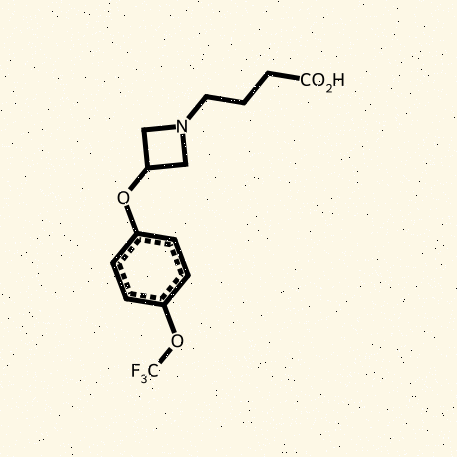 O=C(O)CCCN1CC(Oc2ccc(OC(F)(F)F)cc2)C1